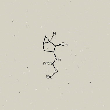 CC(C)(C)OC(=O)N[C@H]1CC2C[C@H]2[C@H]1O